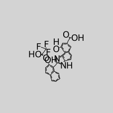 O=C(O)C(F)(F)F.O=C(O)c1cc(O)c2c(ccc3[nH]c(-c4c(O)ccc5ccccc45)nc32)c1